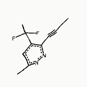 CC#Cc1nnc(C)cc1C(C)(F)F